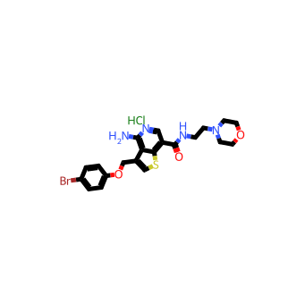 Cl.Nc1ncc(C(=O)NCCN2CCOCC2)c2scc(COc3ccc(Br)cc3)c12